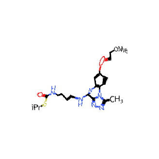 COCCOc1ccc2c(c1)nc(NCCCCNC(=O)SC(C)C)c1nnc(C)n12